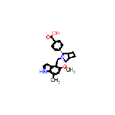 COc1cc(C)c2[nH]ccc2c1CN1CC2CCC2[C@H]1c1ccc(C(=O)O)cc1